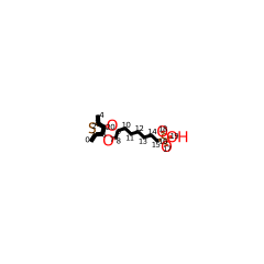 C=c1sc(=C)c2c1OCC(CCCCCCS(=O)(=O)O)O2